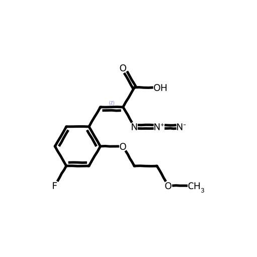 COCCOc1cc(F)ccc1/C=C(\N=[N+]=[N-])C(=O)O